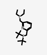 CCP(CC)Cc1cccc(CP(C(C)(C)C)C(C)(C)C)n1